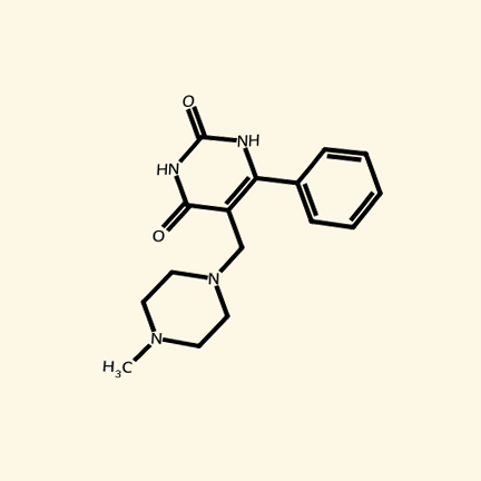 CN1CCN(Cc2c(-c3ccccc3)[nH]c(=O)[nH]c2=O)CC1